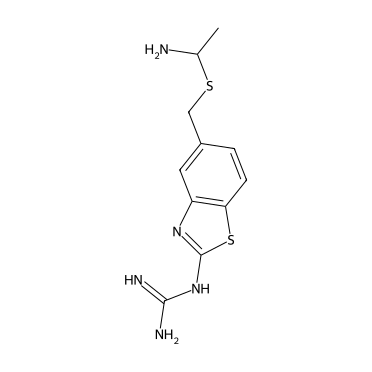 CC(N)SCc1ccc2sc(NC(=N)N)nc2c1